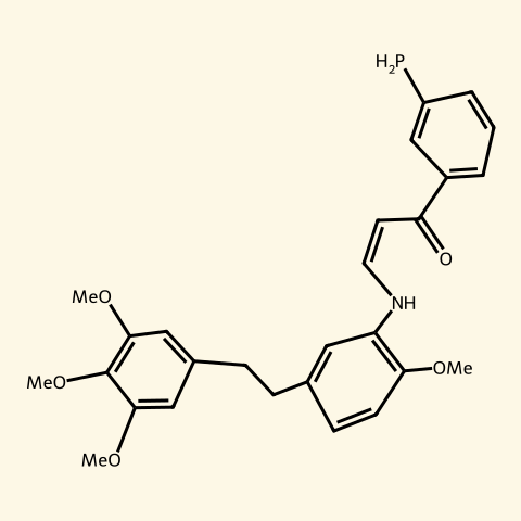 COc1ccc(CCc2cc(OC)c(OC)c(OC)c2)cc1N/C=C\C(=O)c1cccc(P)c1